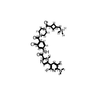 CN(C)c1nc(F)c(-c2cnc(C(=O)Nc3ccc(C(=O)N4CCN(C(=O)C5CC(C[N+](C)(C)C)C5)CC4)c(Cl)c3)n2C)cc1F